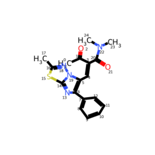 CC(=O)C(=Cc1c(-c2ccccc2)nc2sc(C)nn12)C(=O)N(C)C